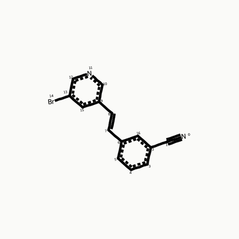 N#Cc1cccc(C=Cc2cncc(Br)c2)c1